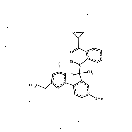 CCN(c1ccccc1C(=O)C1CC1)C(C)(CC)c1cc(SC)ccc1-c1cc(Cl)cc(CC(=O)O)c1